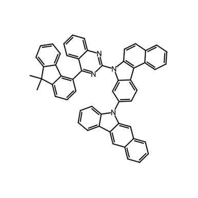 CC1(C)c2ccccc2-c2c(-c3nc(-n4c5cc(-n6c7ccccc7c7cc8ccccc8cc76)ccc5c5c6ccccc6ccc54)nc4ccccc34)cccc21